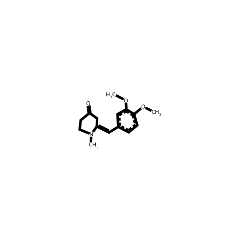 COc1ccc(/C=C2\CC(=O)CCN2C)cc1OC